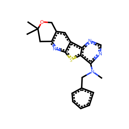 CN(Cc1ccccc1)c1ncnc2c1sc1nc3c(cc12)COC(C)(C)C3